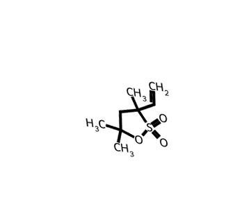 C=CC1(C)CC(C)(C)OS1(=O)=O